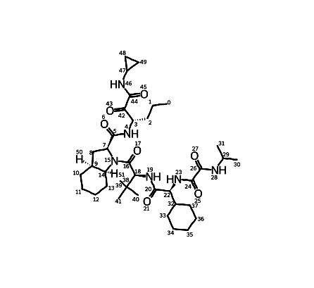 CCC[C@H](NC(=O)[C@@H]1C[C@@H]2CCCC[C@@H]2N1C(=O)[C@@H](NC(=O)[C@@H](NC(=O)C(=O)NC(C)C)C1CCCCC1)C(C)(C)C)C(=O)C(=O)NC1CC1